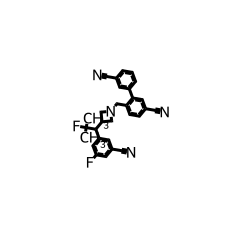 CC(C)(F)C(c1cc(F)cc(C#N)c1)C1CN(Cc2ccc(C#N)cc2-c2cccc(C#N)c2)C1